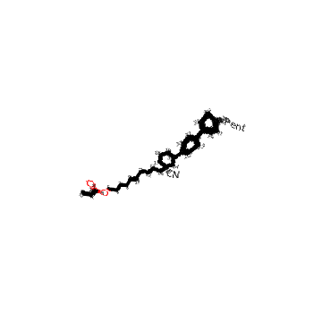 C=CC(=O)OCCCCCCCCCCC1(C#N)CCCC(c2ccc(-c3ccc(C(C)CCC)cc3)cc2)C1